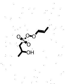 CC=COOS(=O)(=O)CC(C)O